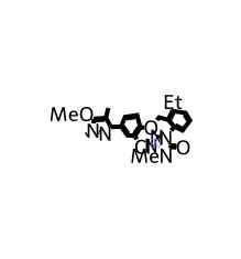 CCc1cccc(N(/N=N\C)C(=O)NC)c1COc1ccc(-c2nn(C)c(OC)c2C)cc1Cl